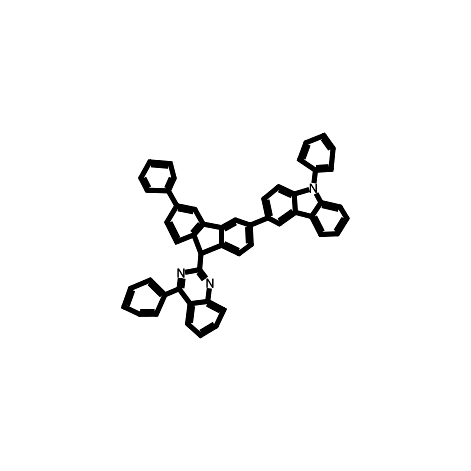 c1ccc(-c2ccc3c(c2)-c2cc(-c4ccc5c(c4)c4ccccc4n5-c4ccccc4)ccc2C3c2nc(-c3ccccc3)c3ccccc3n2)cc1